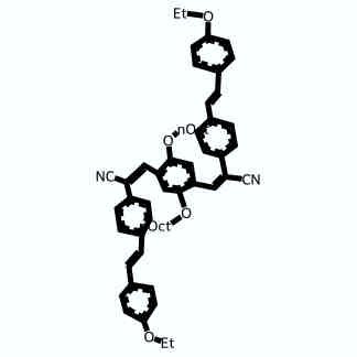 CCCCCCCCOc1cc(C=C(C#N)c2ccc(C=Cc3ccc(OCC)cc3)cc2)c(OCCCCCCCC)cc1C=C(C#N)c1ccc(C=Cc2ccc(OCC)cc2)cc1